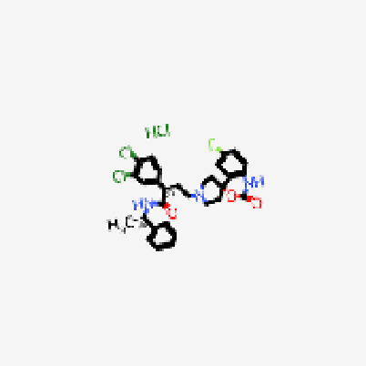 C[C@H](NC(=O)[C@H](CCN1CCC2(CC1)OC(=O)Nc1ccc(F)cc12)c1ccc(Cl)c(Cl)c1)c1ccccc1.Cl